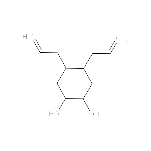 C=CCC1CC(O)C(O)CC1CC=C